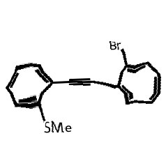 CSc1ccccc1C#Cc1ccccc1Br